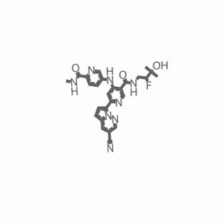 CNC(=O)c1ccc(Nc2cc(-c3ccc4cc(C#N)cnn34)ncc2C(=O)NCC(F)C(C)(C)O)cn1